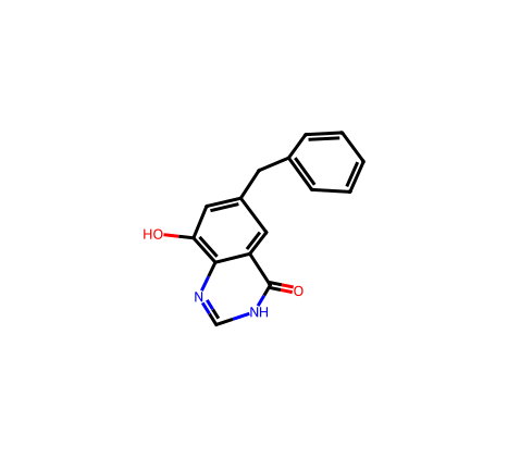 O=c1[nH]cnc2c(O)cc(Cc3ccccc3)cc12